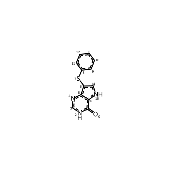 O=c1[nH]cnc2c(Sc3ccccc3)c[nH]c12